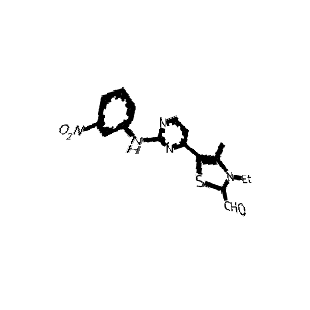 CCN1C(C)=C(c2ccnc(Nc3cccc([N+](=O)[O-])c3)n2)SC1C=O